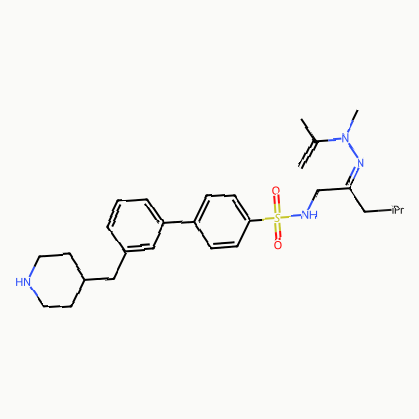 C=C(C)N(C)/N=C(\CNS(=O)(=O)c1ccc(-c2cccc(CC3CCNCC3)c2)cc1)CC(C)C